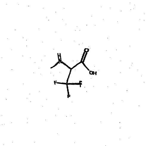 CNC(C(=O)O)C(F)(F)F